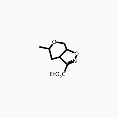 CCOC(=O)C1=NOC2COC(C)CC12